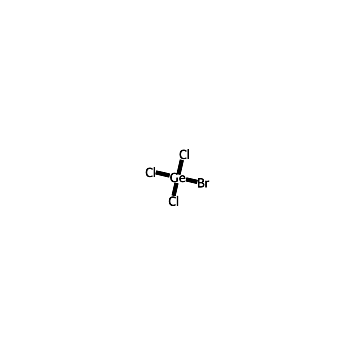 [Cl][Ge]([Cl])([Cl])[Br]